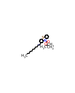 CCCCCCCCC/C=C/c1ccc2c(c1)N(C(=O)OC(C)(C)C)c1ccccc1S2